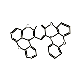 C=C1Oc2cccc3c2B(/C1=C/C1=C(C)Oc2cccc4c2B1c1ccccc1O4)c1ccccc1O3